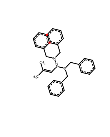 CC(C)=C[SiH](N(Cc1ccccc1)Cc1ccccc1)N(Cc1ccccc1)Cc1ccccc1